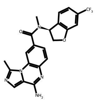 Cc1ncc2c(N)nc3ccc(C(=O)N(C)[C@@H]4COc5cc(C(F)(F)F)ccc54)cc3n12